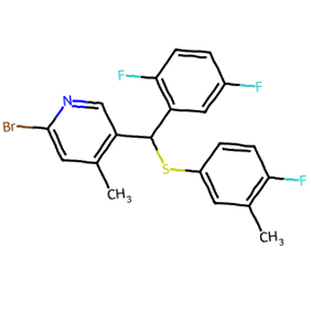 Cc1cc(SC(c2cnc(Br)cc2C)c2cc(F)ccc2F)ccc1F